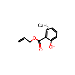 C=CCOC(=O)c1ccccc1O.[CaH2]